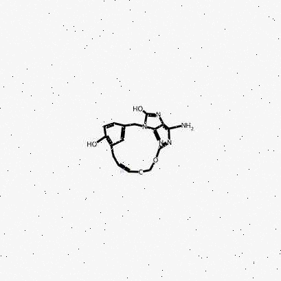 Nc1nc2nc3c1nc(O)n3Cc1ccc(O)c(c1)C/C=C\CCO2